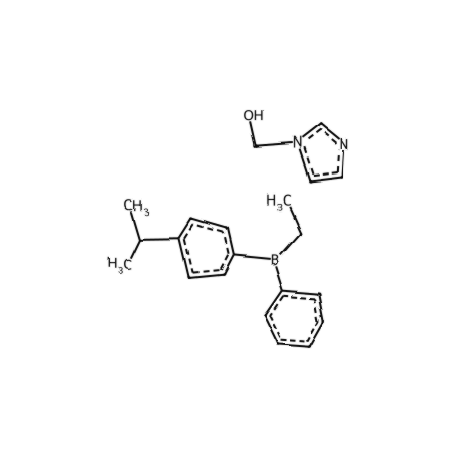 CCB(c1ccccc1)c1ccc(C(C)C)cc1.OCn1ccnc1